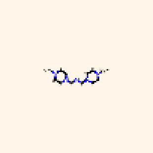 CCCN1CCN(C[N]CN2CCN(CCC)CC2)CC1